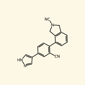 N#Cc1cc(-c2cn[nH]c2)ccc1-c1cccc2c1CN(C#N)C2